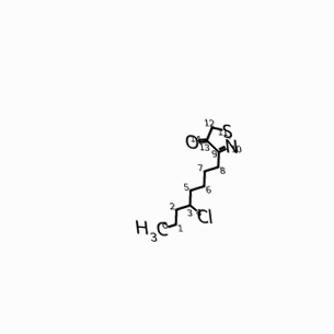 CCCC(Cl)CCCCC1=NSCC1=O